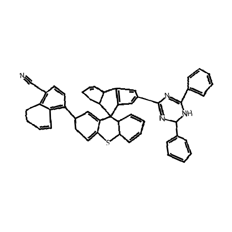 N#Cc1ccc(C2C=C3C(=CC2)SC2C=CC=CC2C32c3cc(C4=NC(c5ccccc5)NC(c5ccccc5)=N4)ccc3C3C=CCCC32)c2c1CCC=C2